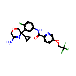 NC1=NC(c2cc(NC(=O)c3ccc(OCC(F)(F)F)cn3)ccc2F)(C2CC2)COC1